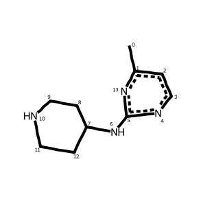 Cc1ccnc(NC2CCNCC2)n1